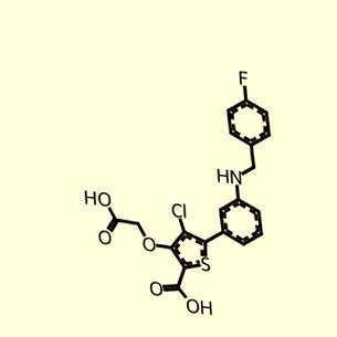 O=C(O)COc1c(C(=O)O)sc(-c2cccc(NCc3ccc(F)cc3)c2)c1Cl